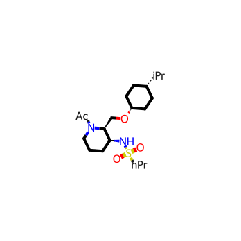 CCCS(=O)(=O)N[C@H]1CCCN(C(C)=O)[C@H]1CO[C@H]1CC[C@@H](C(C)C)CC1